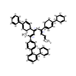 C=C/C=C(/N=C(\C=C(/C)c1ccc(-c2ccccc2C2C=CC=CC2)cc1)C1C=CC(c2ccccc2)=CC1)C1=CC=C(C2C=CC=CC2)CC1